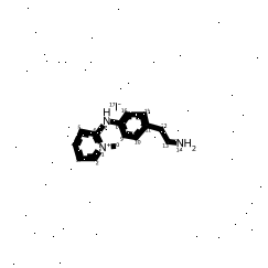 C[n+]1ccccc1Nc1ccc(CCN)cc1.[I-]